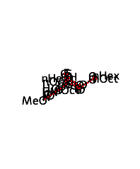 CCCCCCCCC(CCCCCC)C(=O)OCCCCCCOCC(OCCCCCCOC(=O)C(CCCCCC)CCCCCCCC)C(=O)N(CCCCCCCC)CCOCCOCCOCCOCCOC(=O)CNCCOC(=O)CNCCOC.O=C(O)C(F)(F)F